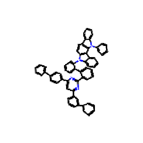 c1ccc(-c2ccc(-c3cc(-c4cccc(-c5ccccc5)c4)nc(-c4ccccc4-c4ccccc4-n4c5ccccc5c5c4ccc4c6ccccc6n(-c6ccccc6)c45)n3)cc2)cc1